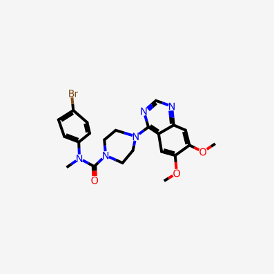 COc1cc2ncnc(N3CCN(C(=O)N(C)c4ccc(Br)cc4)CC3)c2cc1OC